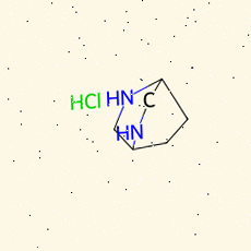 C1CC2CNC1CN2.Cl